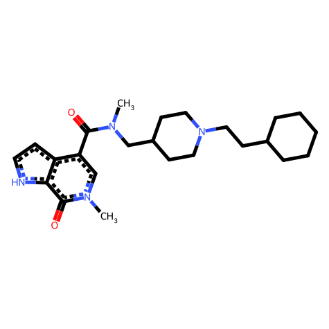 CN(CC1CCN(CCC2CCCCC2)CC1)C(=O)c1cn(C)c(=O)c2[nH]ccc12